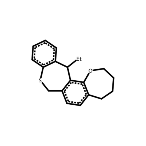 CCC1c2ccccc2SCc2ccc3c(c21)OCCCC3